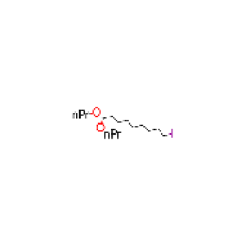 CCCOC(CCCCCCCCI)OCCC